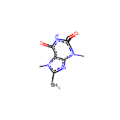 Bc1nc2c(c(=O)[nH]c(=O)n2C)n1C